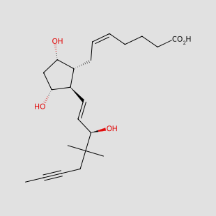 CC#CCC(C)(C)[C@H](O)/C=C/[C@@H]1[C@@H](C/C=C\CCCC(=O)O)[C@@H](O)C[C@H]1O